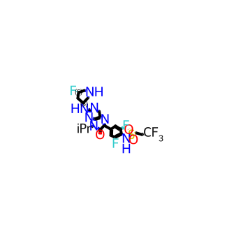 CC(C)n1c(=O)c(-c2cc(F)c(NS(=O)(=O)CCC(F)(F)F)c(F)c2)nc2cnc(N[C@@H]3CNC[C@@H](F)C3)nc21